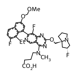 CCc1c(F)ccc2cc(OCOC)cc(-c3ncc4c(N(C)CCCC(=O)O)nc(OC[C@@]56CCCN5C[C@H](F)C6)nc4c3F)c12